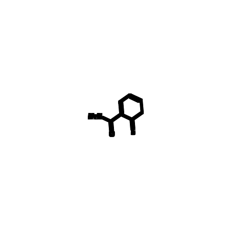 CNC(=O)C1=CC=CCC1=S